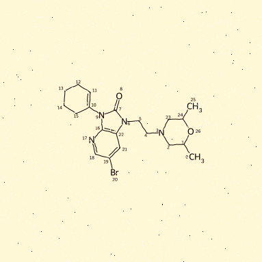 CC1CN(CCn2c(=O)n(C3=CCCCC3)c3ncc(Br)cc32)CC(C)O1